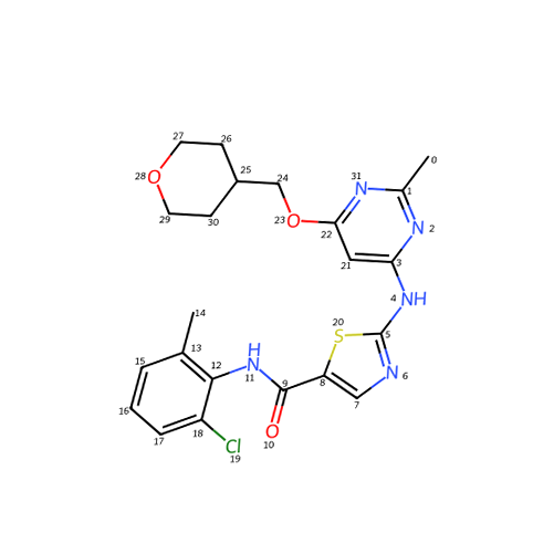 Cc1nc(Nc2ncc(C(=O)Nc3c(C)cccc3Cl)s2)cc(OCC2CCOCC2)n1